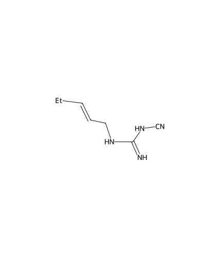 CCC=CCNC(=N)NC#N